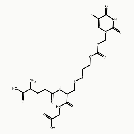 NC(CCC(=O)NC(CSSCCOC(=O)OCn1cc(F)c(=O)[nH]c1=O)C(=O)NCC(=O)O)C(=O)O